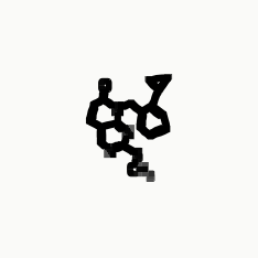 CSc1ncc2ccc(=O)n(Cc3ccccc3C3CC3)c2n1